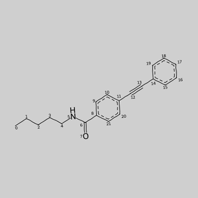 CCCCCNC(=O)c1ccc(C#Cc2ccccc2)cc1